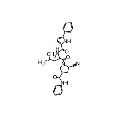 CC(C)CC(NC(=O)c1ccc(-c2ccccc2)[nH]1)C(=O)N1CC(C(=O)Nc2ccccc2)CC1C#N